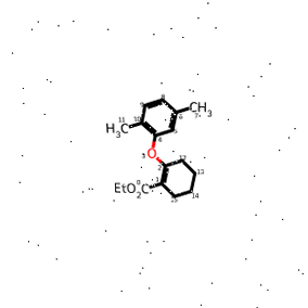 CCOC(=O)C1=C(Oc2cc(C)ccc2C)CCCC1